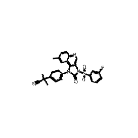 Cc1ccc2ncc3c(c2c1)n(-c1ccc(C(C)(C)C#N)cc1)c(=O)n3S(=O)(=O)c1cccc(F)c1